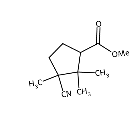 COC(=O)C1CCC(C)(C#N)C1(C)C